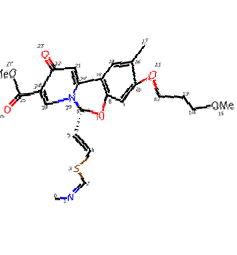 C/N=C\S/C=C/[C@H]1Oc2cc(OCCCOC)c(C)cc2-c2cc(=O)c(C(=O)OC)cn21